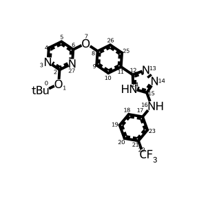 CC(C)(C)Oc1nccc(Oc2ccc(-c3nnc(Nc4cccc(C(F)(F)F)c4)[nH]3)cc2)n1